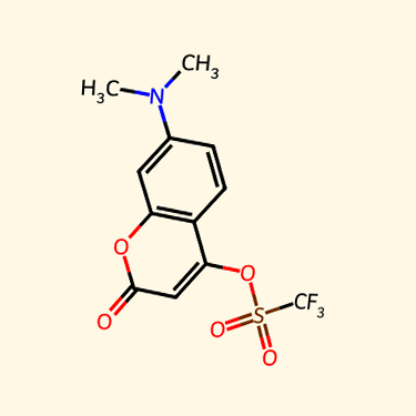 CN(C)c1ccc2c(OS(=O)(=O)C(F)(F)F)cc(=O)oc2c1